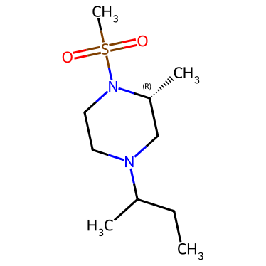 CCC(C)N1CCN(S(C)(=O)=O)[C@H](C)C1